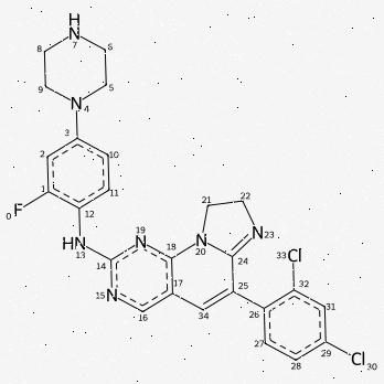 Fc1cc(N2CCNCC2)ccc1Nc1ncc2c(n1)N1CCN=C1C(c1ccc(Cl)cc1Cl)=C2